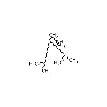 C=C(CCNC)CC(CCCCCCCCC(CCC)CCC)CCCCCCCC(CCC)CCC